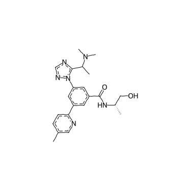 Cc1ccc(-c2cc(C(=O)N[C@@H](C)CO)cc(-n3ncnc3C(C)N(C)C)c2)nc1